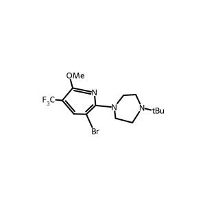 COc1nc(N2CCN(C(C)(C)C)CC2)c(Br)cc1C(F)(F)F